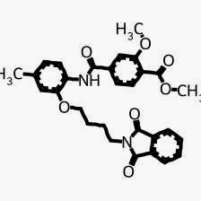 COC(=O)c1ccc(C(=O)Nc2ccc(C)cc2OCCCCN2C(=O)c3ccccc3C2=O)cc1OC